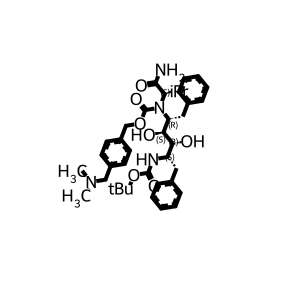 CC(C)[C@@H](C(N)=O)N(C(=O)OCc1ccc(CN(C)C)cc1)[C@H](Cc1ccccc1)[C@H](O)[C@H](O)[C@H](Cc1ccccc1)NC(=O)OC(C)(C)C